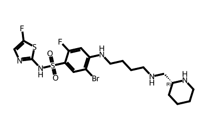 O=S(=O)(Nc1ncc(F)s1)c1cc(Br)c(NCCCCNC[C@H]2CCCCN2)cc1F